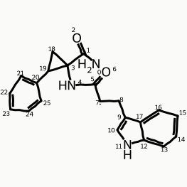 NC(=O)C1(NC(=O)[CH]Cc2c[nH]c3ccccc23)CC1c1ccccc1